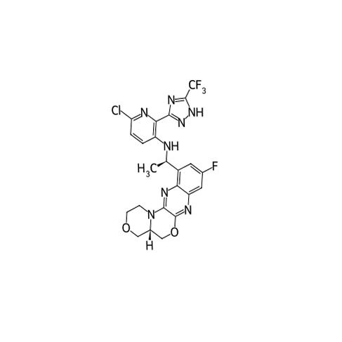 C[C@@H](Nc1ccc(Cl)nc1-c1n[nH]c(C(F)(F)F)n1)c1cc(F)cc2nc3c(nc12)N1CCOC[C@H]1CO3